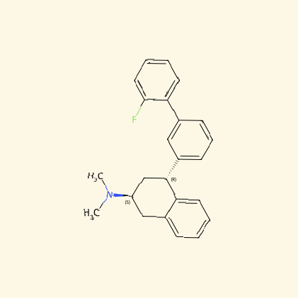 CN(C)[C@@H]1Cc2ccccc2[C@@H](c2cccc(-c3ccccc3F)c2)C1